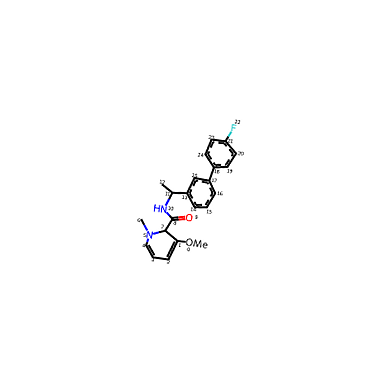 COC1=CC=CN(C)C1C(=O)NC(C)c1cccc(-c2ccc(F)cc2)c1